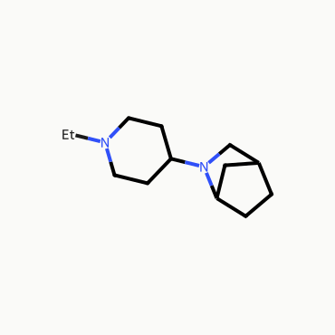 CCN1CCC(N2CC3CCC2C3)CC1